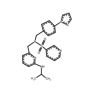 C[C](C)Nc1cccc(CN(Cc2ccc(-n3cccn3)cc2)S(=O)(=O)c2cccnc2)n1